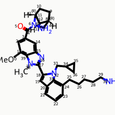 COc1cc(C(=O)N2C[C@H]3CC[C@@H]2[C@@H]3N)cc2nc(-c3cc4cccc(CCCCCN)c4n3CC3CC3)n(C)c12